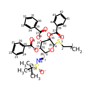 C=CCS[C@H]1O[C@H](/C=N/[S@+]([O-])C(C)(C)C)[C@H](OC(=O)c2ccccc2)[C@H](OC(=O)c2ccccc2)[C@H]1OC(=O)c1ccccc1